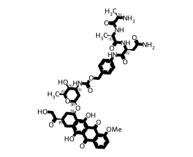 COc1cccc2c1C(=O)c1c(O)c3c(c(O)c1C2=O)C[C@@H](C(=O)CO)C[C@@H]3O[C@H]1C[C@H](NC(=O)OCc2ccc(NC(=O)[C@H](CC(N)=O)NC(=O)[C@H](C)NC(=O)[C@H](C)N)cc2)[C@H](O)[C@H](C)O1